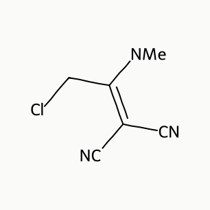 CNC(CCl)=C(C#N)C#N